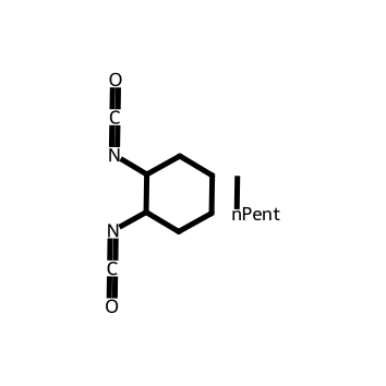 CCCCCC.O=C=NC1CCCCC1N=C=O